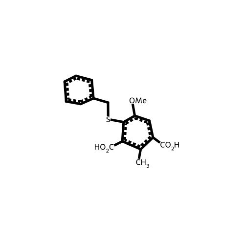 COc1cc(C(=O)O)c(C)c(C(=O)O)c1SCc1ccccc1